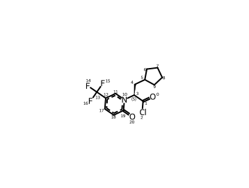 O=C(Cl)[C@H](CC1CCCC1)n1cc(C(F)(F)F)ccc1=O